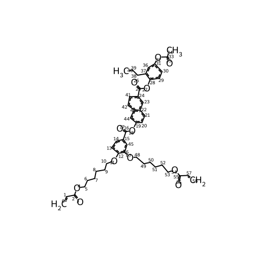 C=CC(=O)OCCCCCCOc1ccc(C(=O)Oc2ccc3cc(C(=O)Oc4ccc(OC(C)=O)cc4CCC)ccc3c2)cc1OCCCCCCOC(=O)C=C